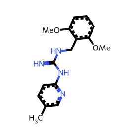 COc1cccc(OC)c1CNC(=N)Nc1ccc(C)cn1